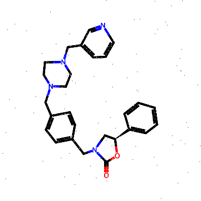 O=C1O[C@H](c2ccccc2)CN1Cc1ccc(CN2CCN(Cc3cccnc3)CC2)cc1